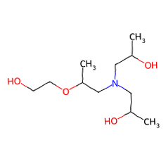 CC(O)CN(CC(C)O)CC(C)OCCO